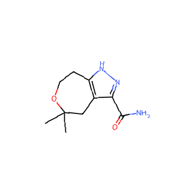 CC1(C)Cc2c(C(N)=O)n[nH]c2CCO1